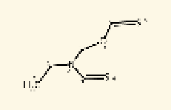 CCN([C]=S)COC=S